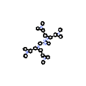 c1ccc(-n2c3ccccc3c3cc(-c4ccc5c(c4)c4cc(-c6ccc7c(c6)c6ccccc6n7-c6ccccc6)ccc4n5-c4cccc(-c5nc(-n6c7ccc(-c8ccc9c(c8)c8ccccc8n9-c8ccccc8)cc7c7cc(-c8ccc9c(c8)c8ccccc8n9-c8ccccc8)ccc76)c6ccccc6n5)c4)ccc32)cc1